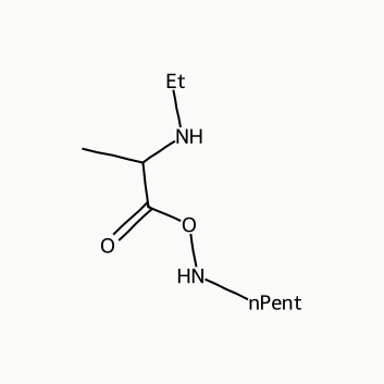 CCCCCNOC(=O)C(C)NCC